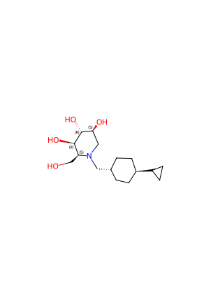 OC[C@H]1[C@@H](O)[C@H](O)[C@@H](O)CN1C[C@H]1CC[C@H](C2CC2)CC1